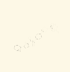 CN(C)C1CCN(c2ccc(NC(=O)c3ccc(-c4ccccn4)s3)cc2)C1